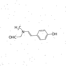 CN(C=Cc1ccc(O)cc1)CC=O